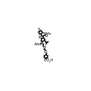 CNC(=O)c1c(-c2ccc(F)cc2)oc2cc(N(CCOCCOCc3ccc(C(=O)O)cc3)SC)c(C3CC3)cc12